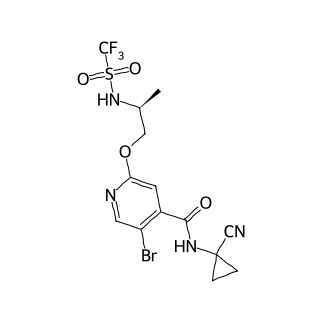 C[C@@H](COc1cc(C(=O)NC2(C#N)CC2)c(Br)cn1)NS(=O)(=O)C(F)(F)F